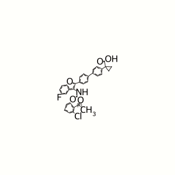 C[C@@H](OC(=O)Nc1c(-c2ccc(-c3ccc(C4(C(=O)O)CC4)cc3)cc2)oc2ccc(F)cc12)c1ccccc1Cl